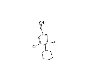 C#Cc1cc(F)c(C2CCCCC2)c(Cl)c1